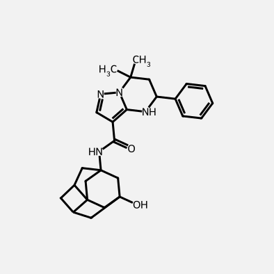 CC1(C)CC(c2ccccc2)Nc2c(C(=O)NC34CC5CC6CC(O)(C3)CC65C4)cnn21